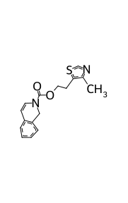 Cc1ncsc1CCOC(=O)N1C=Cc2ccccc2C1